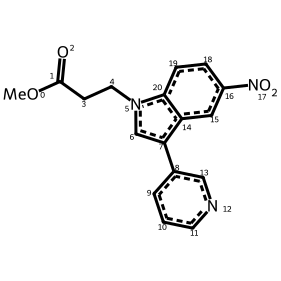 COC(=O)CCn1cc(-c2cccnc2)c2cc([N+](=O)[O-])ccc21